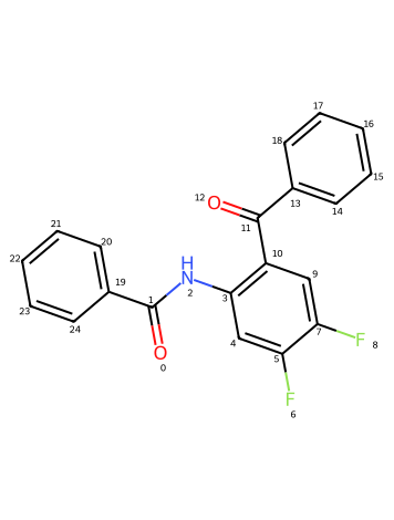 O=C(Nc1cc(F)c(F)cc1C(=O)c1ccccc1)c1ccccc1